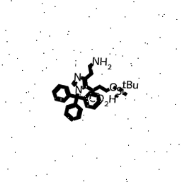 CC(C)(C)[Si](C)(C)OCCC(C(=O)O)c1c(CCN)ncn1C(c1ccccc1)(c1ccccc1)c1ccccc1